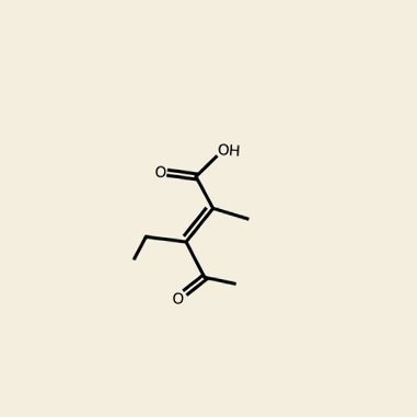 CCC(C(C)=O)=C(C)C(=O)O